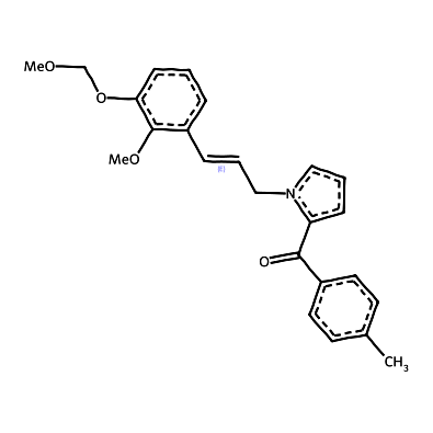 COCOc1cccc(/C=C/Cn2cccc2C(=O)c2ccc(C)cc2)c1OC